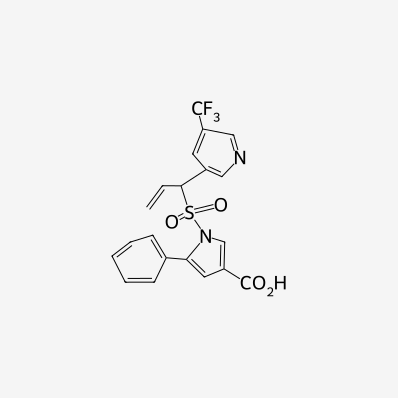 C=CC(c1cncc(C(F)(F)F)c1)S(=O)(=O)n1cc(C(=O)O)cc1-c1ccccc1